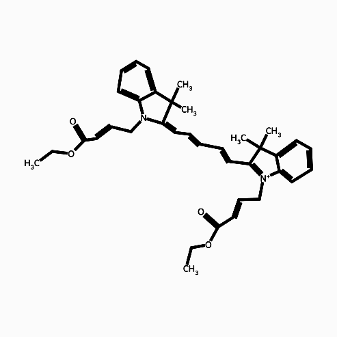 CCOC(=O)/C=C/CN1/C(=C/C=C/C=C/C2=[N+](C/C=C/C(=O)OCC)c3ccccc3C2(C)C)C(C)(C)c2ccccc21